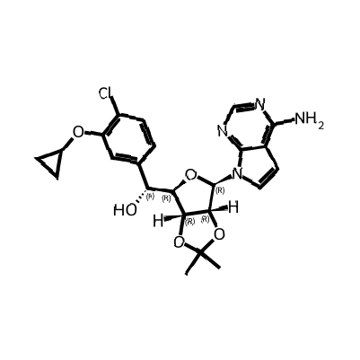 CC1(C)O[C@H]2[C@@H](O1)[C@H](n1ccc3c(N)ncnc31)O[C@@H]2[C@H](O)c1ccc(Cl)c(OC2CC2)c1